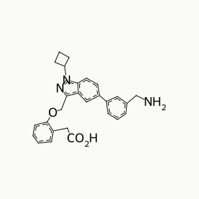 NCc1cccc(-c2ccc3c(c2)c(COc2ccccc2CC(=O)O)nn3C2CCC2)c1